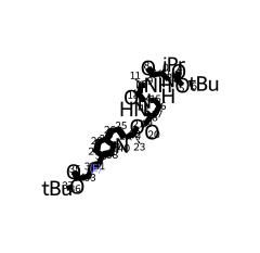 CC(C)[C@H](NC(=O)OC(C)(C)C)C(=O)N[C@@H](C)C(=O)N1CCCC(C(=O)O[C@H](C)c2ccc3ccc(/C=C/CC(=O)OC(C)(C)C)cc3n2)N1